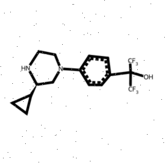 OC(c1ccc(N2CCN[C@H](C3CC3)C2)cc1)(C(F)(F)F)C(F)(F)F